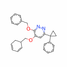 C1=CCC(COc2cc(C3(c4ccccc4)CC3)nnc2OCc2ccccc2)C=C1